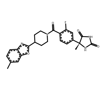 Cc1ccc2nc(C3CCN(C(=O)c4ccc([C@@]5(C)NC(=O)NC5=O)cc4F)CC3)oc2c1